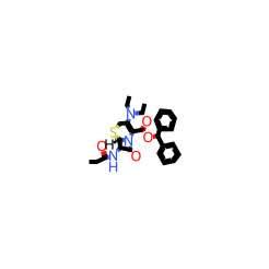 CCC(=O)NC1C(=O)N2C(C(=O)OC(c3ccccc3)c3ccccc3)=C(N(CC)CC)CS[C@@H]12